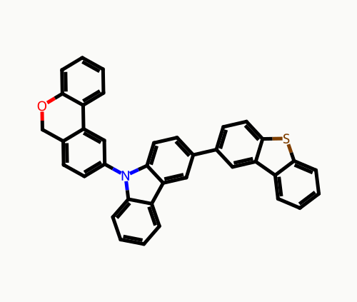 c1ccc2c(c1)OCc1ccc(-n3c4ccccc4c4cc(-c5ccc6sc7ccccc7c6c5)ccc43)cc1-2